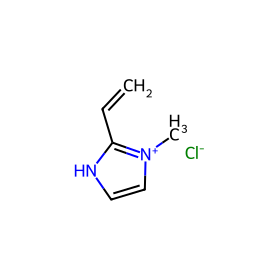 C=Cc1[nH]cc[n+]1C.[Cl-]